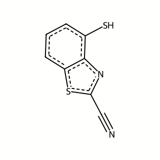 N#Cc1nc2c(S)cccc2s1